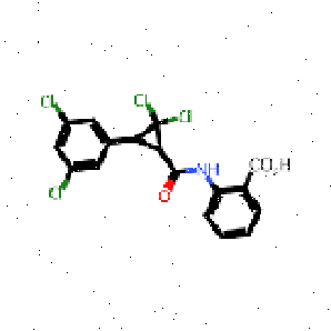 O=C(O)c1ccccc1NC(=O)C1C(c2cc(Cl)cc(Cl)c2)C1(Cl)Cl